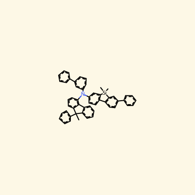 CC1(c2ccccc2)c2ccccc2-c2c(N(c3cccc(-c4ccccc4)c3)c3ccc4c(c3)[Si](C)(C)c3cc(-c5ccccc5)ccc3-4)cccc21